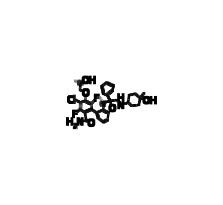 C[C@H](O)COc1c(F)c(-c2cccc3c2[C@H](C)C(CNC2CCC(C)(O)CC2)(c2ccccc2)O3)c(C(N)=O)c(F)c1Cl